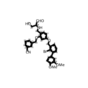 COc1ccc(-c2cccc(COc3ccc(CNC(C=O)CO)c(OCc4cccc(C#N)c4)c3)c2Br)cc1OC